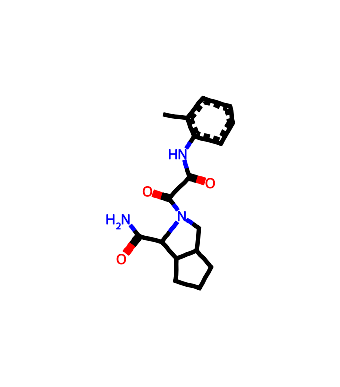 Cc1ccccc1NC(=O)C(=O)N1CC2CCCC2C1C(N)=O